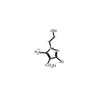 CCOC(=O)c1c(CC)nn(CCO)c1N